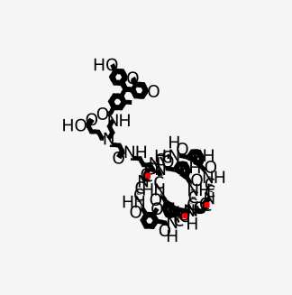 Cc1cc(C(=O)NCCN(CCCC(=O)O)CCC(=O)NCCCCC2CN3CCNC(=O)c4cccc(c4O)C(=O)NCCN(CCNC(=O)c4cccc(c4O)C(=O)N2)CCN2CCNC(=O)c4cccc(c4O)C(=O)NCCN(CCNC(=O)c4cccc(c4O)C(=O)NCC2)CC3)ccc1-c1c2ccc(=O)cc-2oc2cc(O)ccc12